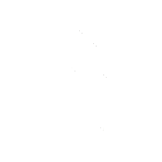 CCS(=O)(=O)C1(COC(=N)c2c(C=N)cc(C(=O)NCc3ccc(C#N)cc3)c(=O)n2C)CC1